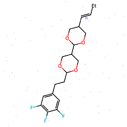 CC/C=C/C1COC(C2COC(CCc3cc(F)c(F)c(F)c3)OC2)OC1